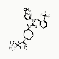 Cn1cc2c(n1)N(Cc1ccccc1C(F)(F)F)C(=O)N(C1CCCN(C(=O)OC(C)(C)C)CC1)C2